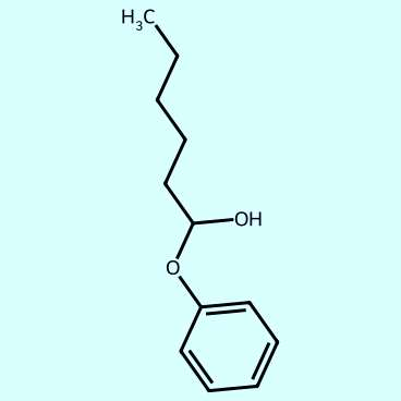 CCCCCC(O)Oc1ccccc1